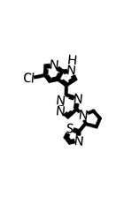 Clc1cnc2[nH]cc(-c3nncc(N4CCCC4c4nccs4)n3)c2c1